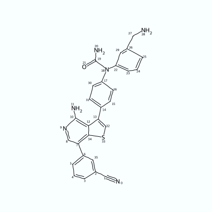 N#Cc1cccc(-c2cnc(N)c3c(-c4ccc(N(C(N)=O)c5cccc(CN)c5)cc4)csc23)c1